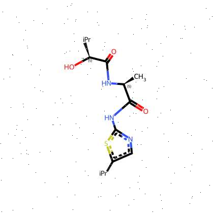 CC(C)c1cnc(NC(=O)[C@H](C)NC(=O)[C@@H](O)C(C)C)s1